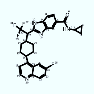 O=C(NC1CC1)c1ccc2[nH]c(C(C3CCC(c4ccnc5ccc(F)cc45)CC3)C(F)(F)F)nc2c1